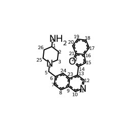 NC1CCN(Cc2ccc3cncc(-c4cc5ccccc5o4)c3c2)CC1